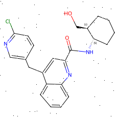 O=C(N[C@H]1CCCC[C@@H]1CO)c1cc(Cc2ccc(Cl)nc2)c2ccccc2n1